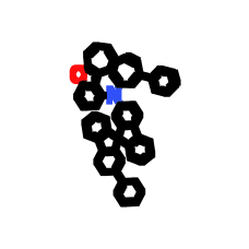 C1#CC(c2cc#ccc2)=CC(N(c2ccc3c(c2)C2(C4=C(CCC(C5=CC=CCC5)=C4)c4ccccc42)c2ccccc2-3)c2cccc3oc4c(c23)CC=CC=C4)=CC1